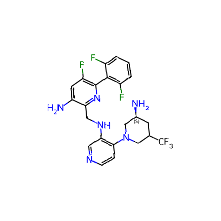 Nc1cc(F)c(-c2c(F)cccc2F)nc1CNc1cnccc1N1CC(C(F)(F)F)C[C@H](N)C1